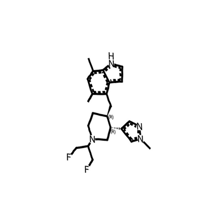 Cc1cc(C)c2[nH]ccc2c1C[C@@H]1CCN(C(CF)CF)C[C@H]1c1cnn(C)c1